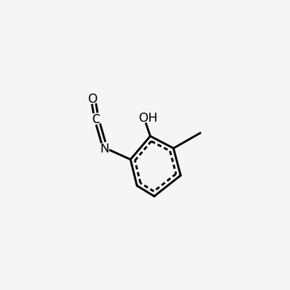 Cc1cccc(N=C=O)c1O